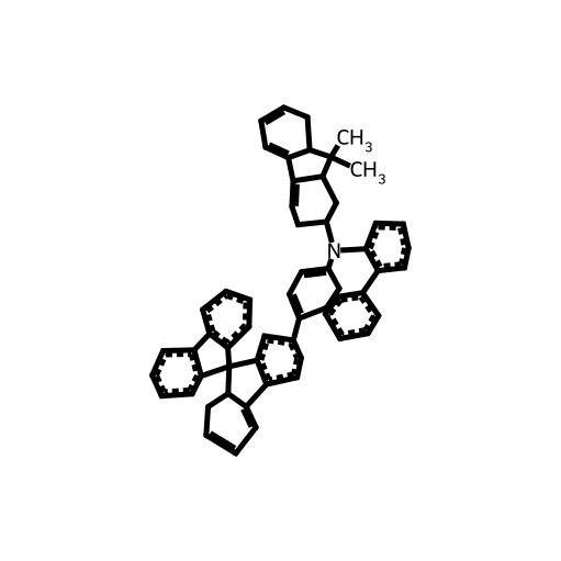 CC1(C)C2CC=CC=C2C2=CCC(N(C3=CC=C(c4ccc5c(c4)C4(c6ccccc6-c6ccccc64)C4CC=CC=C54)CC3)c3ccccc3-c3ccccc3)CC21